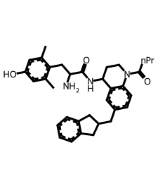 CCCC(=O)N1CCC(NC(=O)C(N)Cc2c(C)cc(O)cc2C)c2cc(CC3Cc4ccccc4C3)ccc21